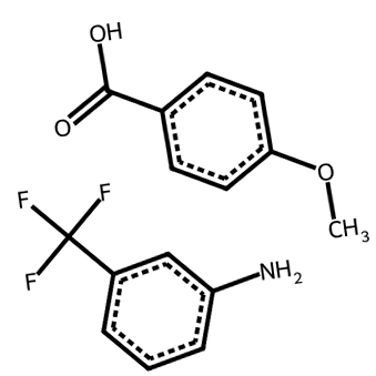 COc1ccc(C(=O)O)cc1.Nc1cccc(C(F)(F)F)c1